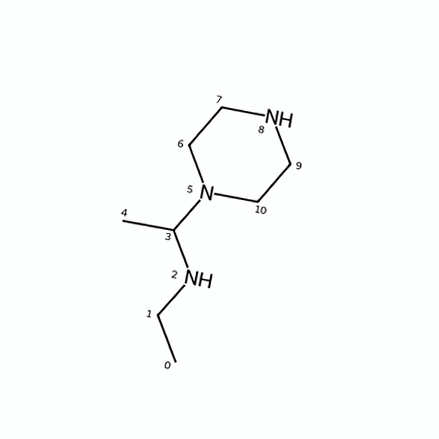 CCNC(C)N1CCNCC1